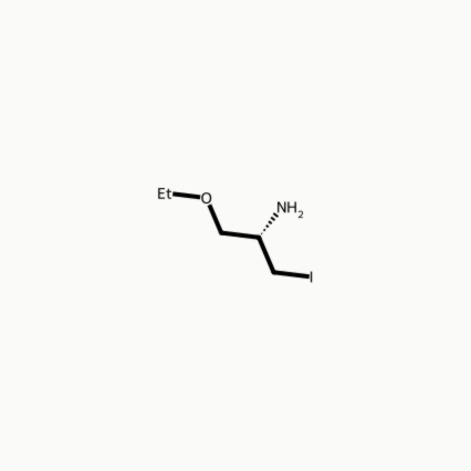 CCOC[C@H](N)CI